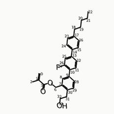 C=C(C)C(=O)OCc1cc(-c2ccc(-c3ccc(CCCCC)cc3)cc2F)ccc1CCO